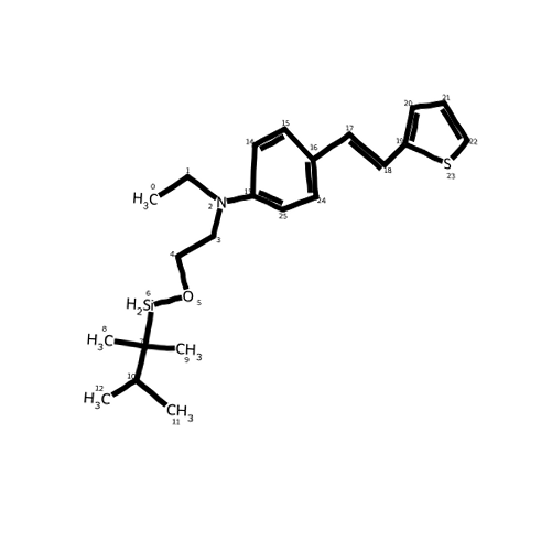 CCN(CCO[SiH2]C(C)(C)C(C)C)c1ccc(C=Cc2cccs2)cc1